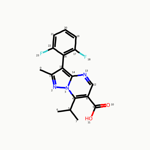 Cc1nn2c(C(C)C)c(C(=O)O)cnc2c1-c1c(F)cccc1F